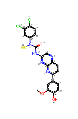 COc1cc(-c2ccc3ncc(NC(=O)N(S)c4ccc(Cl)c(Cl)c4)nc3n2)ccc1O